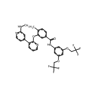 CNc1cc(-c2cccnc2Oc2cc(C(=O)Nc3cc(OCC(F)(F)F)cc(OCC(F)(F)F)c3)ccc2C)ccn1